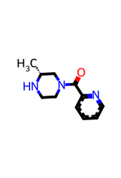 C[C@@H]1CN(C(=O)c2ccccn2)CCN1